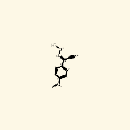 COc1ccc(/C(C#N)=N/OS)cc1